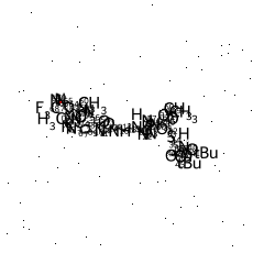 Cc1nnc(-c2ccc(CN(CC(=O)NCCCCNc3ncnc4c3ncn4C3OC(CSCC[C@H](NC(=O)OC(C)(C)C)C(=O)OC(C)(C)C)C4OC(C)(C)OC43)C(=O)CCC=NN(C)C(=O)c3ccc(C4(C(F)(F)F)N=N4)cc3)cc2)nn1